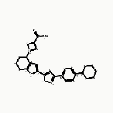 O=C(O)C1CN(C2CCCc3oc(-c4cc(-c5ccc(C6CCCCC6)cc5)no4)cc32)C1